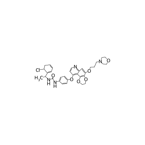 CC(NC(=O)Nc1ccc(Oc2ccnc3cc(OCCCN4CCOCC4)c4c(c23)OCCO4)cc1)C1=CC=CCC1Cl